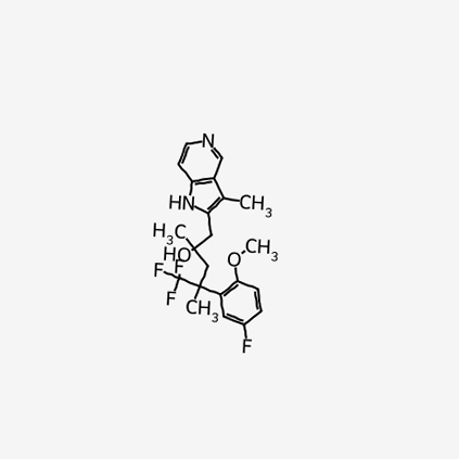 COc1ccc(F)cc1C(C)(CC(C)(O)Cc1[nH]c2ccncc2c1C)C(F)(F)F